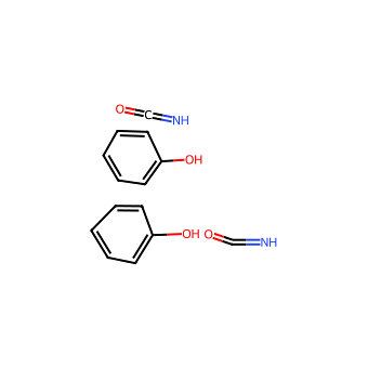 N=C=O.N=C=O.Oc1ccccc1.Oc1ccccc1